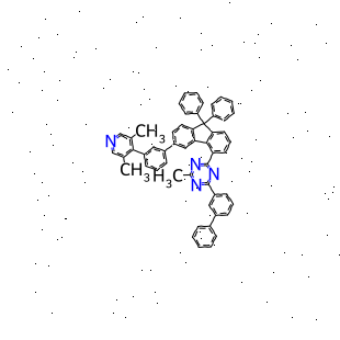 Cc1nc(-c2cccc(-c3ccccc3)c2)nc(-c2cccc3c2-c2cc(-c4cccc(-c5c(C)cncc5C)c4)ccc2C3(c2ccccc2)c2ccccc2)n1